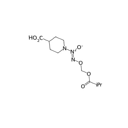 CC(C)C(=O)OCO/N=[N+](\[O-])N1CCC(C(=O)O)CC1